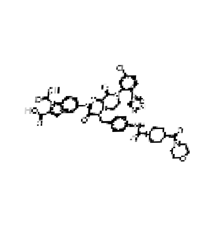 O=C(O)c1cc2cc(NC(=O)C(Cc3ccc(NC(=O)N4CCC(C(=O)N5CCOCC5)CC4)cc3)N3CCN(c4cc(Cl)ccc4-n4cnnn4)C(=O)C3=O)ccc2n1C(=O)O